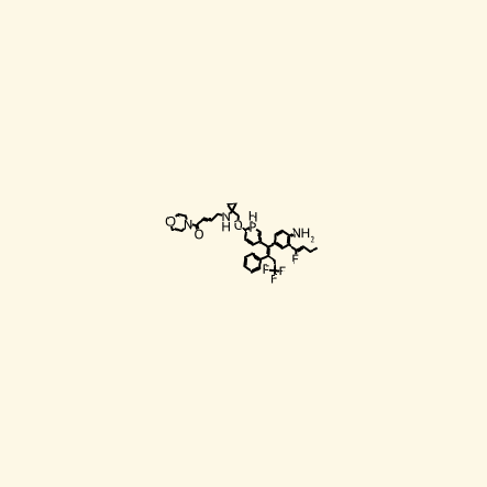 CC/C=C(\F)c1cc(/C(C2=CPC(OCC3(NC/C=C/C(=O)N4CCOCC4)CC3)C=C2)=C(\CC(F)(F)F)c2ccccc2)ccc1N